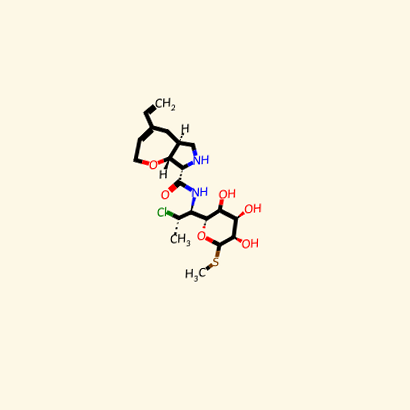 C=CC1=CCO[C@@H]2[C@H](CN[C@@H]2C(=O)N[C@H]([C@H](C)Cl)[C@H]2OC(SC)[C@H](O)[C@H](O)C2O)C1